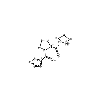 O=C(c1cs[c]n1)[C@@H]1CCCN1C(=O)[C@@H]1CCCN1